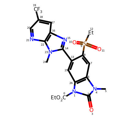 CCOC(=O)n1c(=O)n(C)c2cc(S(=O)(=O)CC)c(-c3nc4cc(C(F)(F)F)cnc4n3C)cc21